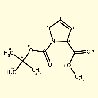 COC(=O)C1C=CCN1C(=O)OC(C)(C)C